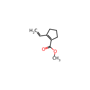 C=CC1=C(C(=O)OC)CCC1